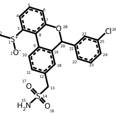 C[S+]([O-])c1cccc2c1-c1ccc(CS(N)(=O)=O)cc1C(c1cccc(Cl)c1)O2